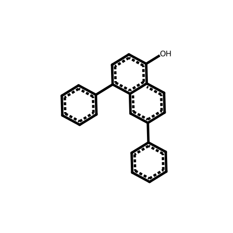 Oc1ccc(-c2ccccc2)c2cc(-c3ccccc3)ccc12